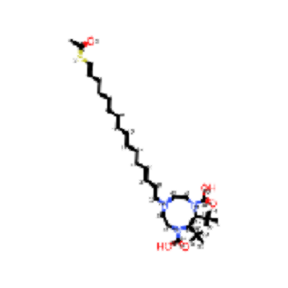 CC(=O)SCCCCCCCCCCCCCCCCN1CCN(C(=O)O)C(C(C)(C)C)C(C(C)(C)C)N(C(=O)O)CC1